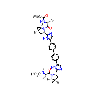 COC(=O)N[C@H](C(=O)N1[C@@H](c2ncc(-c3ccc(-c4ccc(-c5cnc([C@H]6C[C@H]7C[C@H]7N6C(=O)[C@H](C(C)C)N(C)C(=O)O)[nH]5)cc4)cc3)[nH]2)C[C@H]2C[C@H]21)C(C)C